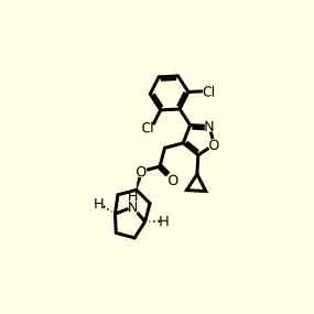 O=C(Cc1c(-c2c(Cl)cccc2Cl)noc1C1CC1)O[C@H]1C[C@H]2CC[C@@H](C1)N2